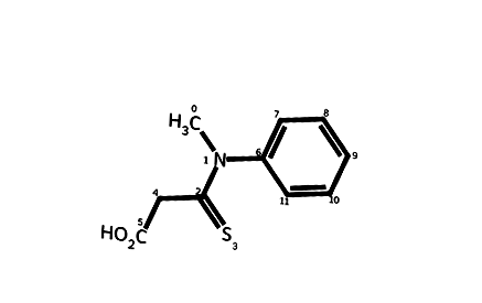 CN(C(=S)CC(=O)O)c1ccccc1